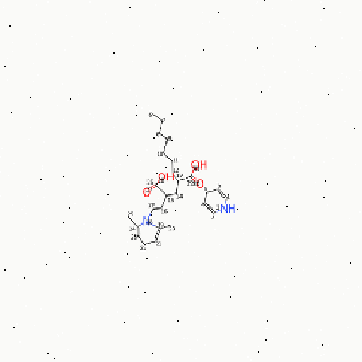 C1=CNC=CC1.CCCCCCCC(CC(CCN1C(C)=CCC=C1C)C(=O)O)C(=O)O